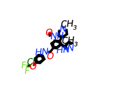 CN1CCC(C)(c2c(NC=O)cc(C(=O)Nc3ccc(OC(F)(F)Cl)cc3)cc2-c2ccn[nH]2)CC1